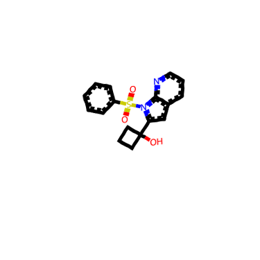 O=S(=O)(c1ccccc1)n1c(C2(O)CCC2)cc2cccnc21